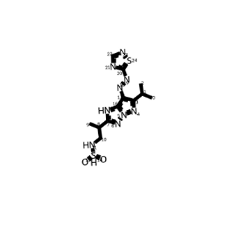 CC(C)c1nn2nc(C(C)CN[SH](=O)=O)[nH]c2c1N=Nc1ncns1